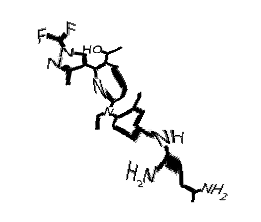 C=CN(c1ccc(C(C)O)c(-c2cn(C(F)F)nc2C)n1)c1ccc(N/C(N)=C/C=C(/C)N)cc1C